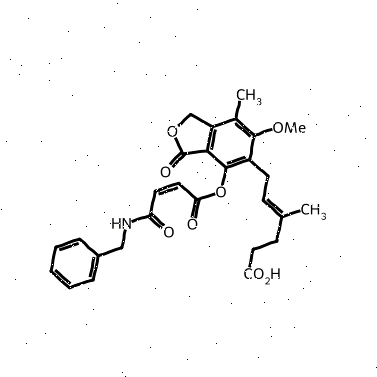 COc1c(C)c2c(c(OC(=O)/C=C\C(=O)NCc3ccccc3)c1C/C=C(\C)CCC(=O)O)C(=O)OC2